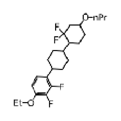 CCCOC1CCC(C2CCC(c3ccc(OCC)c(F)c3F)CC2)C(F)(F)C1